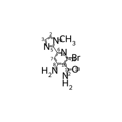 Cn1ccnc1-c1cc(N)c(C(N)=O)c(Br)n1